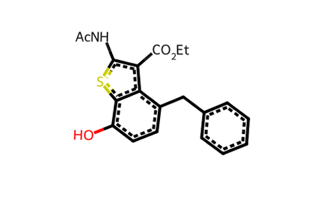 CCOC(=O)c1c(NC(C)=O)sc2c(O)ccc(Cc3ccccc3)c12